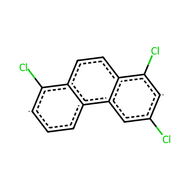 Clc1[c]c(Cl)c2ccc3c(Cl)[c]ccc3c2c1